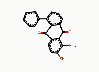 Nc1c(S)ccc2c1C(=O)c1cccc(-c3ccccc3)c1C2=O